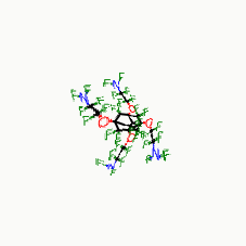 FN(F)C(F)(F)C(F)(F)OC12C(F)(F)C3(OC(F)(F)C(F)(F)N(F)F)C(F)(F)C(OC(F)(F)C(F)(F)N(F)F)(C1(F)F)C(F)(F)C(OC(F)(F)C(F)(F)N(F)F)(C2(F)F)C3(F)F